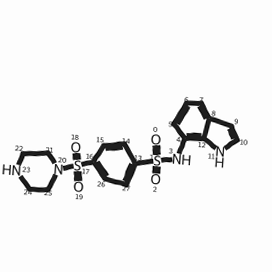 O=S(=O)(Nc1cccc2cc[nH]c12)c1ccc(S(=O)(=O)N2CCNCC2)cc1